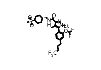 CCn1nc(C(=O)NC[C@H]2CC[C@H](S(C)(=O)=O)CC2)c(C)c1-c1ccc(CCCC(F)(F)F)cc1OC(F)F